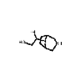 [2H]C(CO)N1C2CCC1CNC2